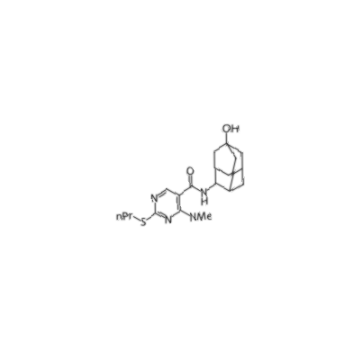 CCCSc1ncc(C(=O)NC2C3CC4CC2CC(O)(C4)C3)c(NC)n1